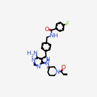 C=CC(=O)N1CCC[C@@H](n2nc(-c3ccc(CNC(=O)c4ccc(F)cc4)cc3)c3c(N)ncnc32)C1